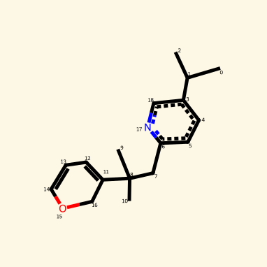 CC(C)c1ccc(CC(C)(C)C2=CC=COC2)nc1